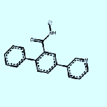 CCNC(=O)c1cc(-c2cccnc2)ccc1-c1ccccc1